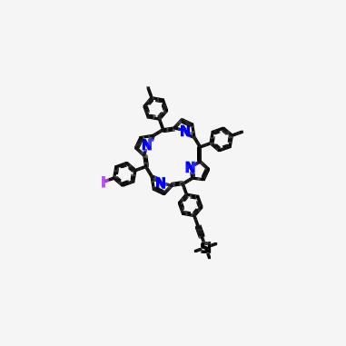 Cc1ccc(C2=C3C=CC(=N3)C(c3ccc(C#C[Si](C)(C)C)cc3)=C3C=CC(=N3)C(c3ccc(I)cc3)=C3C=CC(=N3)C(c3ccc(C)cc3)=C3C=CC2=N3)cc1